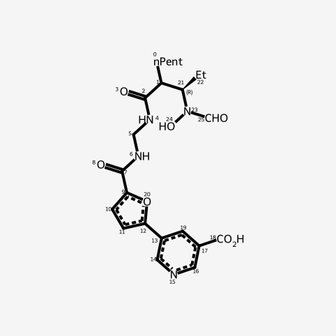 CCCCCC(C(=O)NCNC(=O)c1ccc(-c2cncc(C(=O)O)c2)o1)[C@@H](CC)N(O)C=O